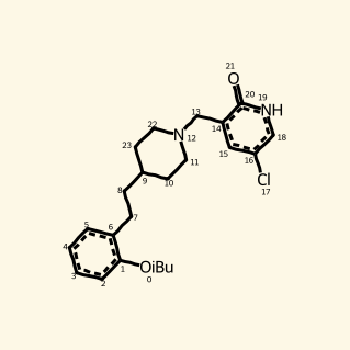 CC(C)COc1ccccc1CCC1CCN(Cc2cc(Cl)c[nH]c2=O)CC1